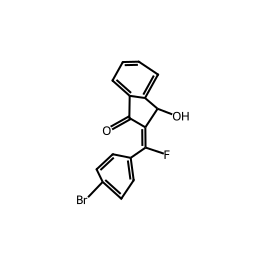 O=C1/C(=C(/F)c2ccc(Br)cc2)C(O)c2ccccc21